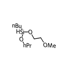 CCCC[SiH](OCCC)OCCOC